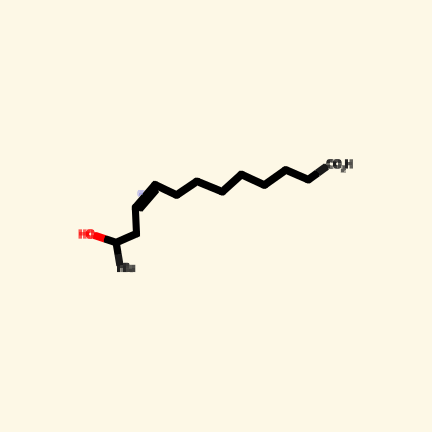 CCCCC(O)C/C=C\CCCCCCCC(=O)O